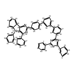 c1ccc(-c2nc(-c3ccccc3)nc(-c3cccc(-c4cccc(-c5ccc(-c6nc(-c7ccccc7)c7c(n6)c6ccccc6n7-c6ccccc6)cc5)c4)c3)n2)cc1